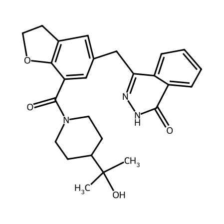 CC(C)(O)C1CCN(C(=O)c2cc(Cc3n[nH]c(=O)c4ccccc34)cc3c2OCC3)CC1